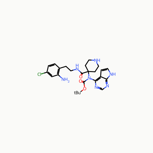 CC(C)(C)OC(=O)N(c1ncnc2[nH]ccc12)C1(C(=O)NCCc2ccc(Cl)cc2N)CCNCC1